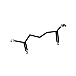 [CH2]CCC(=S)CCCC(=S)CC